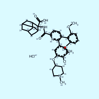 COc1cccc(OC)c1-c1ccc(C(=O)NC2(C(=O)O)C3CC4CC(C3)CC2C4)nc1-c1ccc(Cl)c(OC2CCN(C)CC2)c1.Cl